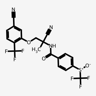 CC(C#N)(COc1cc(C#N)ccc1C(F)(F)F)NC(=O)c1ccc([S+]([O-])C(F)(F)F)cc1